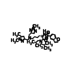 Cc1cc(CN(CCCC[C@H](NS(=O)(=O)c2ccc3occc3c2)C(=O)N(CC(C)C)CC(C)C)Cc2cnn(C)n2)nn1C